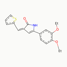 CCOc1ccc(C2=CC(=Cc3cccs3)C(=O)N2)cc1OCC